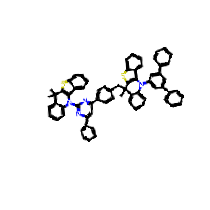 CC1(C)c2ccccc2N(c2nc(-c3ccccc3)cc(-c3ccc(CC4(C)c5ccccc5N(c5cc(-c6ccccc6)cc(-c6ccccc6)c5)c5c4sc4ccccc54)cc3)n2)c2c1sc1ccccc21